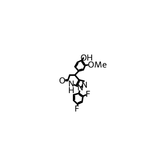 COc1cc(C2CC(=O)Nc3c2cnn3-c2ccc(F)cc2F)ccc1O